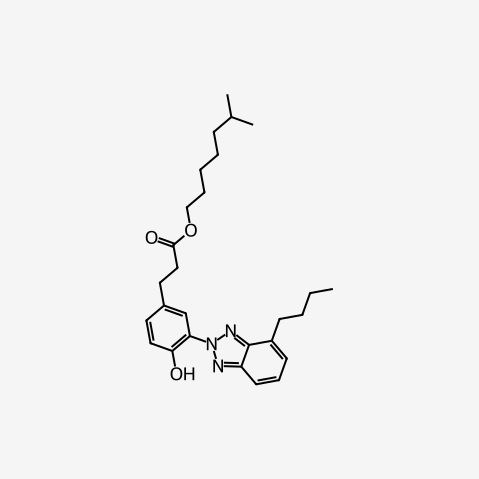 CCCCc1cccc2nn(-c3cc(CCC(=O)OCCCCCC(C)C)ccc3O)nc12